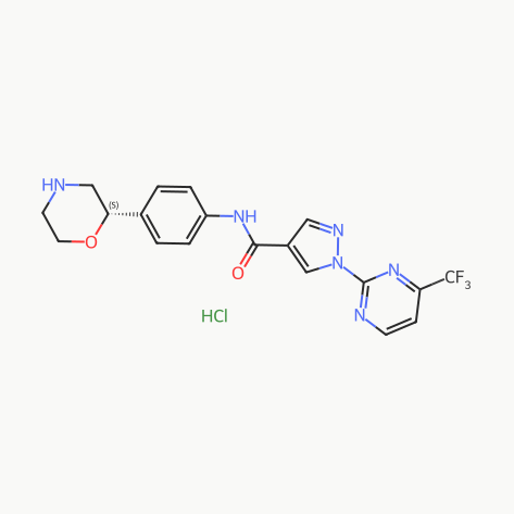 Cl.O=C(Nc1ccc([C@H]2CNCCO2)cc1)c1cnn(-c2nccc(C(F)(F)F)n2)c1